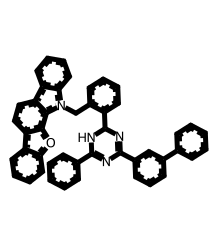 c1ccc(C2=NC(c3cccc(-c4ccccc4)c3)=NC(c3ccccc3Cn3c4ccccc4c4ccc5c6ccccc6oc5c43)N2)cc1